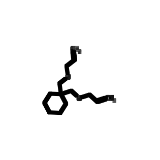 C=CCOCC1(COCC=C)CCCCC1